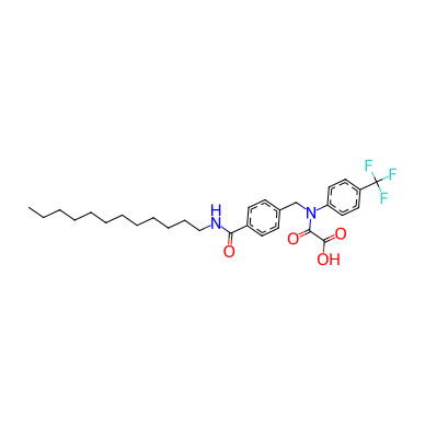 CCCCCCCCCCCCNC(=O)c1ccc(CN(C(=O)C(=O)O)c2ccc(C(F)(F)F)cc2)cc1